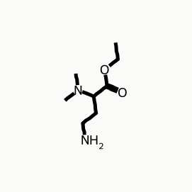 CCOC(=O)C(CCN)N(C)C